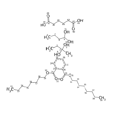 CCC(C)(O)O.CCCC(O)O.CCCCCCCCOC(=O)c1ccccc1C(=O)OCCCCCCCC.O=C(O)CCCCC(=O)O